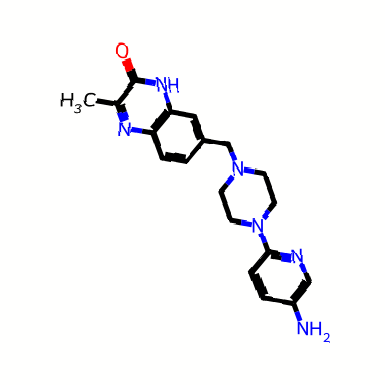 Cc1nc2ccc(CN3CCN(c4ccc(N)cn4)CC3)cc2[nH]c1=O